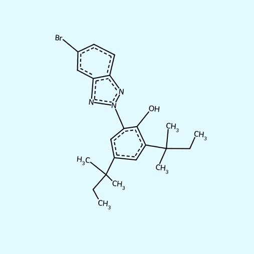 CCC(C)(C)c1cc(-n2nc3ccc(Br)cc3n2)c(O)c(C(C)(C)CC)c1